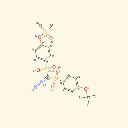 CC(C)(C)Oc1ccc(S(=O)(=O)C(=[N+]=[N-])S(=O)(=O)c2ccc(OS(C)(=O)=O)cc2)cc1